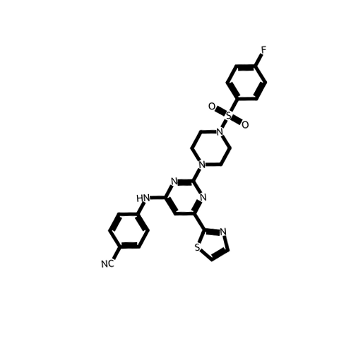 N#Cc1ccc(Nc2cc(-c3nccs3)nc(N3CCN(S(=O)(=O)c4ccc(F)cc4)CC3)n2)cc1